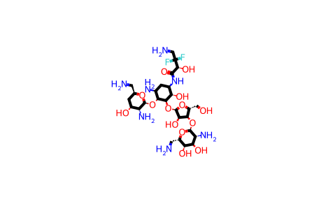 NC[C@@H]1C[C@@H](O)[C@@H](N)[C@@H](O[C@H]2[C@H](O[C@@H]3O[C@H](CO)[C@@H](O[C@H]4O[C@@H](CN)[C@@H](O)[C@H](O)[C@H]4N)[C@H]3O)[C@@H](O)[C@H](NC(=O)[C@@H](O)C(F)(F)CN)C[C@@H]2N)O1